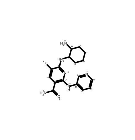 NC(=O)c1cc(F)c(NC2CCCCC2N)nc1Nc1cccnc1